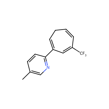 Cc1ccc(C2=CCC=CC(C(F)(F)F)=C2)nc1